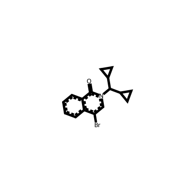 O=c1c2ccccc2c(Br)cn1C(C1CC1)C1CC1